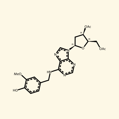 COc1cc(CNc2ncnc3c2ncn3[C@H]2C[C@@H](OC(C)=O)[C@@H](COC(C)=O)O2)ccc1O